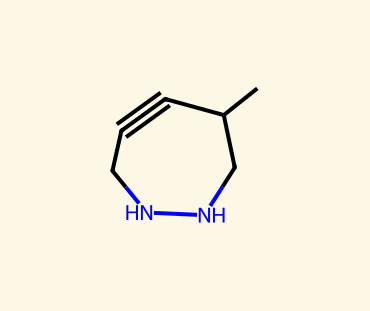 CC1C#CCNNC1